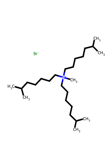 CC(C)CCCCC[N+](C)(CCCCCC(C)C)CCCCCC(C)C.[Br-]